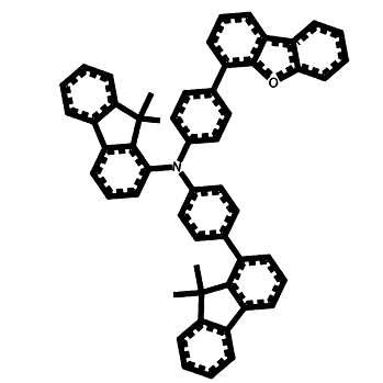 CC1(C)c2ccccc2-c2cccc(-c3ccc(N(c4ccc(-c5cccc6c5oc5ccccc56)cc4)c4cccc5c4C(C)(C)c4ccccc4-5)cc3)c21